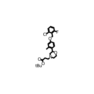 Cc1cc(OCc2c(F)cccc2Cl)ccc1C1CN(CCC(=O)OC(C)(C)C)CCO1